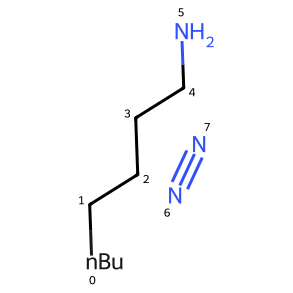 CCCCCCCCN.N#N